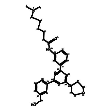 CN(C)CCCCCC(=O)Nc1cccc(-c2nc(-c3cccc(CO)c3)cc(N3CCOCC3)n2)c1